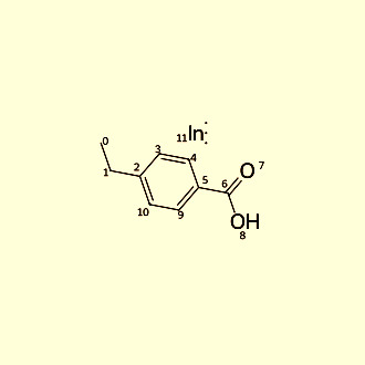 CCc1ccc(C(=O)O)cc1.[In]